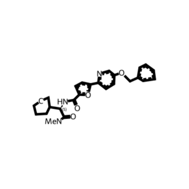 CNC(=O)[C@@H](NC(=O)c1ccc(-c2ccc(OCc3ccccc3)cn2)o1)C1CCCCC1